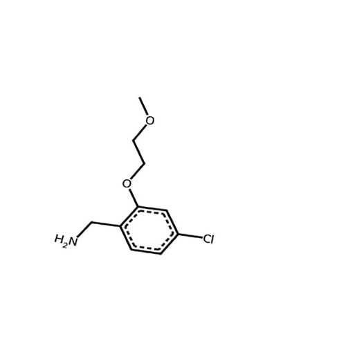 COCCOc1cc(Cl)ccc1CN